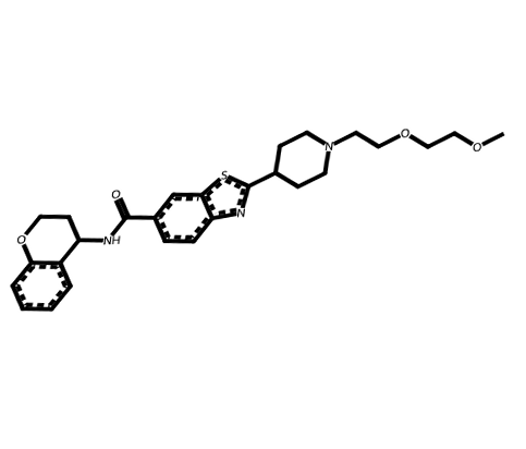 COCCOCCN1CCC(c2nc3ccc(C(=O)NC4CCOc5ccccc54)cc3s2)CC1